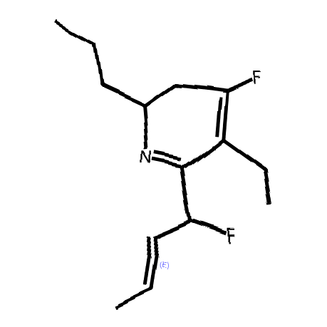 C/C=C/C(F)C1=NC(CCC)CC(F)=C1CC